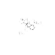 NC(=O)c1cccc2c1nc(C1CCCN1)n2CCO